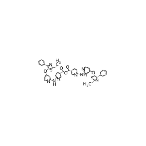 CCc1nc(-c2ccccc2)c(Oc2ccnc(Nc3ccc(C(=O)OC(=O)c4ccc(Nc5cc(Oc6sc(CC)nc6-c6ccccc6)ccn5)nc4)cn3)c2)s1